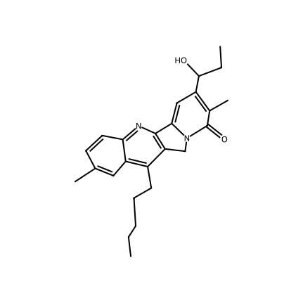 CCCCCc1c2c(nc3ccc(C)cc13)-c1cc(C(O)CC)c(C)c(=O)n1C2